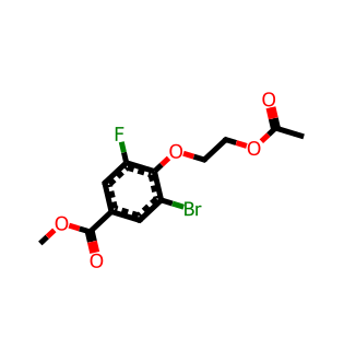 COC(=O)c1cc(F)c(OCCOC(C)=O)c(Br)c1